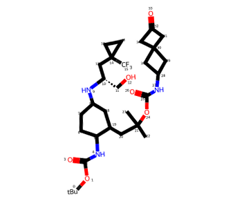 CC(C)(C)OC(=O)NC1CCC(N[C@@H](CO)CC2(C(F)(F)F)CC2)CC1CC(C)(C)OC(=O)NC1CC2(CC(=O)C2)C1